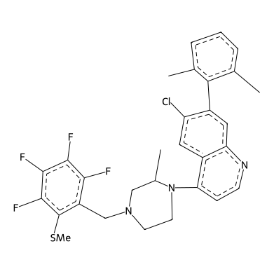 CSc1c(F)c(F)c(F)c(F)c1CN1CCN(c2ccnc3cc(-c4c(C)cccc4C)c(Cl)cc23)C(C)C1